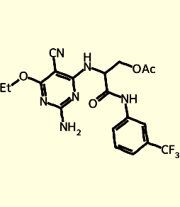 CCOc1nc(N)nc(NC(COC(C)=O)C(=O)Nc2cccc(C(F)(F)F)c2)c1C#N